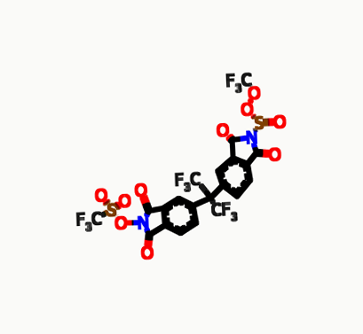 O=C1c2ccc(C(c3ccc4c(c3)C(=O)N(S(=O)OOC(F)(F)F)C4=O)(C(F)(F)F)C(F)(F)F)cc2C(=O)N1OS(=O)(=O)C(F)(F)F